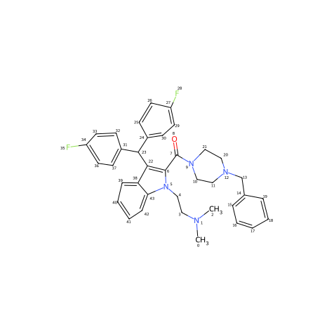 CN(C)CCn1c(C(=O)N2CCN(Cc3ccccc3)CC2)c(C(c2ccc(F)cc2)c2ccc(F)cc2)c2ccccc21